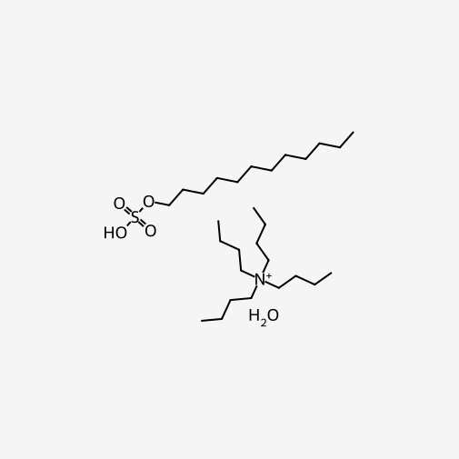 CCCCCCCCCCCCOS(=O)(=O)O.CCCC[N+](CCCC)(CCCC)CCCC.O